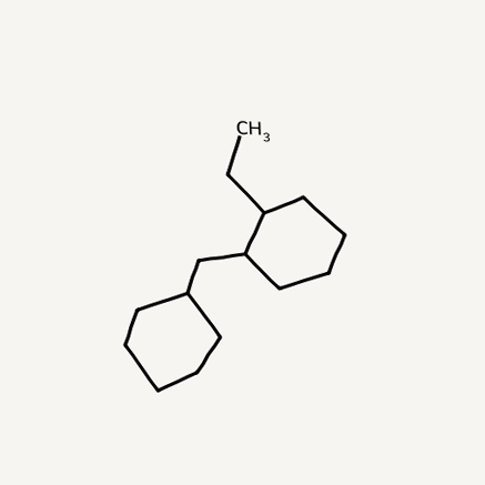 CCC1CCCCC1CC1CCCCC1